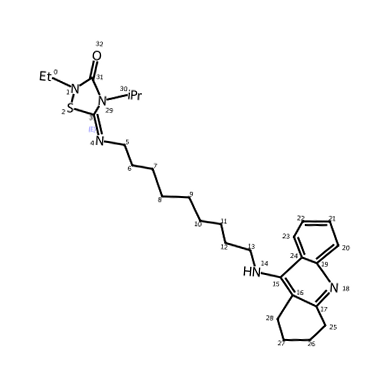 CCn1s/c(=N/CCCCCCCCCNc2c3c(nc4ccccc24)CCCC3)n(C(C)C)c1=O